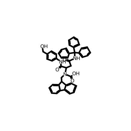 O=C(CC(C(=O)Nc1ccc(CO)cc1)N(CC1c2ccccc2-c2ccccc21)C(=O)O)NC(c1ccccc1)(c1ccccc1)c1ccccc1